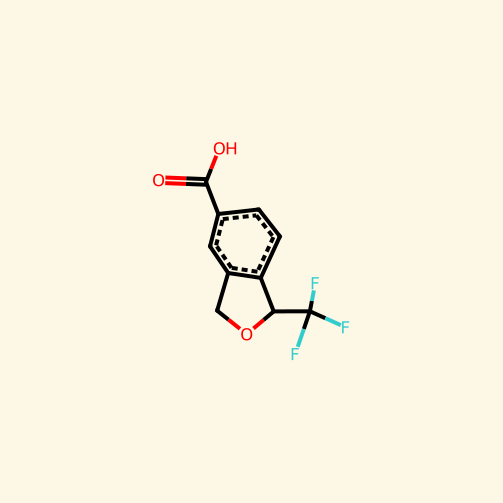 O=C(O)c1ccc2c(c1)COC2C(F)(F)F